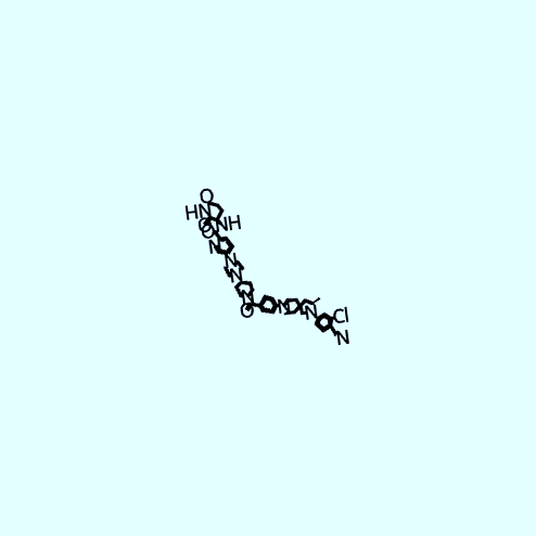 C[C@@H]1CC2(CCN(c3ccc(C(=O)N4CCC(N5CCN(c6ccc(C(=O)NC7CCC(=O)NC7=O)nc6)CC5)CC4)cc3)CC2)CN1c1ccc(C#N)c(Cl)c1